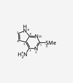 CSc1nc(N)c2cc[nH]c2n1